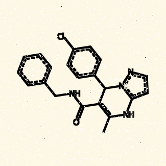 CC1=C(C(=O)NCc2ccccc2)C(c2ccc(Cl)cc2)n2nccc2N1